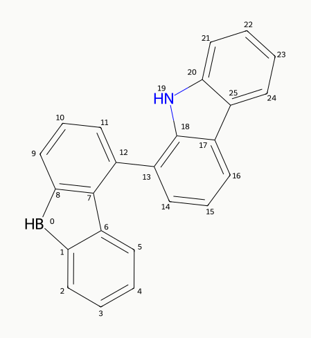 B1c2ccccc2-c2c1cccc2-c1cccc2c1[nH]c1ccccc12